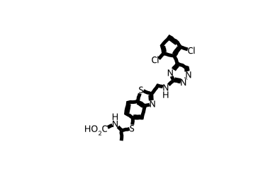 CC(NC(=O)O)Sc1ccc2sc(CNc3nncc(-c4c(Cl)cccc4Cl)n3)nc2c1